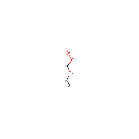 CCOCOO